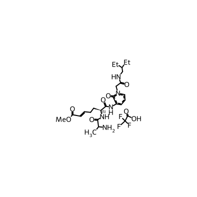 CCC(CC)CNC(=O)Cn1cccc(NC(=O)[C@H](CCC=CC(=O)OC)NC(=O)C(C)N)c1=O.O=C(O)C(F)(F)F